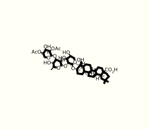 CC(=O)O[C@H]1[C@H](O[C@@H]2[C@@H](O)[C@H](C)O[C@@H](O[C@H]3[C@H](O[C@H]4CC[C@@]5(C)[C@@H](CC[C@]6(C)[C@@H]5CC=C5[C@@H]7CC(C)(C)CCC7(C(=O)O)CC[C@]56C)[C@]4(C)CO)OC[C@H](O)[C@@H]3O)[C@@H]2O)OC[C@@H](OC(C)=O)[C@@H]1O